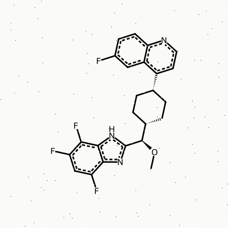 CO[C@@H](c1nc2c(F)cc(F)c(F)c2[nH]1)[C@H]1CC[C@@H](c2ccnc3ccc(F)cc32)CC1